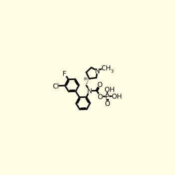 CN1CC[C@@H](CN(C(=O)OP(=O)(O)O)c2ccccc2-c2ccc(F)c(Cl)c2)C1